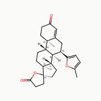 Cc1ccc([C@@H]2CC3=CC(=O)CC[C@]3(C)[C@H]3CC[C@@]4(C)[C@@H](CC[C@@]45CCC(=O)O5)[C@H]23)o1